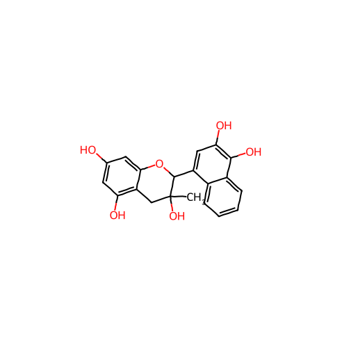 CC1(O)Cc2c(O)cc(O)cc2OC1c1cc(O)c(O)c2ccccc12